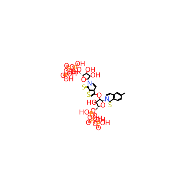 Cc1ccc2c(=S)n([C@@H]3O[C@H](COP(=O)(O)OP(=O)(O)OP(=O)(O)O)C(O)C3Oc3csc4c(=S)n([C@@H]5O[C@H](COP(=O)(O)OP(=O)(O)OP(=O)(O)O)C(O)C5O)ccc34)ccc2c1